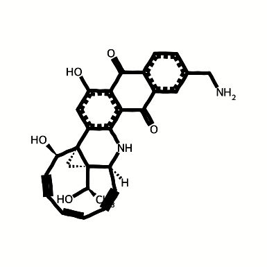 C[C@@H](O)[C@@]12C[C@]13c1cc(O)c4c(c1N[C@H]2C#C/C=C\C#C[C@H]3O)C(=O)c1cc(CN)ccc1C4=O